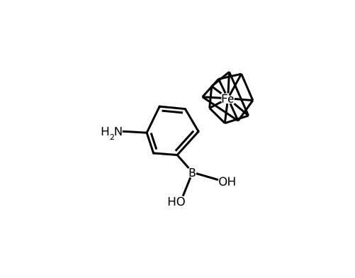 Nc1cccc(B(O)O)c1.[CH]12[CH]3[CH]4[CH]5[CH]1[Fe]23451678[CH]2[CH]1[CH]6[CH]7[CH]28